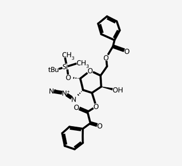 CC(C)(C)[Si](C)(C)O[C@@H]1OC(COC(=O)c2ccccc2)[C@@H](O)C(OC(=O)C(=O)c2ccccc2)[C@@H]1N=[N+]=[N-]